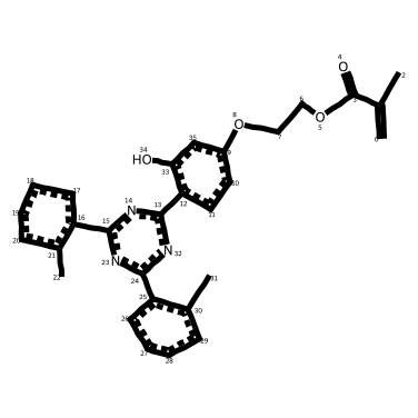 C=C(C)C(=O)OCCOc1ccc(-c2nc(-c3ccccc3C)nc(-c3ccccc3C)n2)c(O)c1